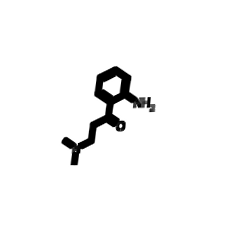 CN(C)CCC(=O)c1ccccc1N